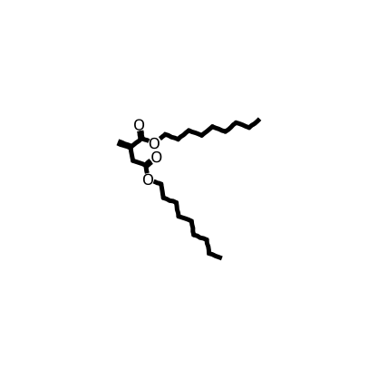 C=C(CC(=O)OCCCCCCCCC)C(=O)OCCCCCCCCC